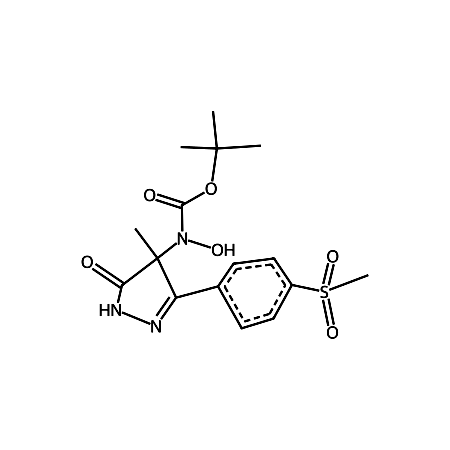 CC(C)(C)OC(=O)N(O)C1(C)C(=O)NN=C1c1ccc(S(C)(=O)=O)cc1